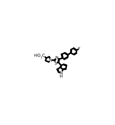 O=C(O)C1CCN(c2nc(-c3ccc(-c4ccc(F)cc4)cc3)c(-c3cccc4[nH]ccc34)s2)C1